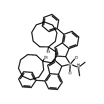 CCC1(CC2=Cc3c(-c4ccccc4)cccc3[CH]2[Zr]([Cl])([Cl])([CH]2C(CC3(CC)CCCCCCCC3)=Cc3c(-c4ccccc4)cccc32)[SiH](C)C)CCCCCCCC1